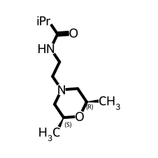 CC(C)C(=O)NCCN1C[C@@H](C)O[C@@H](C)C1